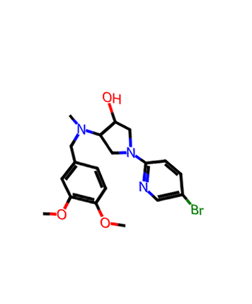 COc1ccc(CN(C)C2CN(c3ccc(Br)cn3)CC2O)cc1OC